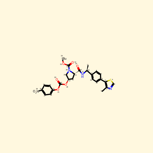 Cc1ncsc1-c1ccc([C@H](C)NC(=O)[C@@H]2C[C@@H](OC(=O)Oc3ccc([N+](=O)[O-])cc3)CN2C(=O)OC(C)(C)C)cc1